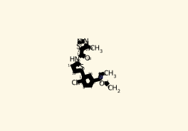 C=CO/C(=C\C)c1ccc(Cl)c(-c2ccc(NC(=O)c3snnc3C)s2)c1